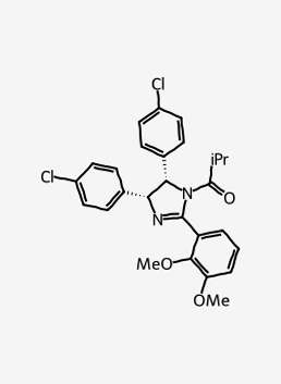 COc1cccc(C2=N[C@H](c3ccc(Cl)cc3)[C@H](c3ccc(Cl)cc3)N2C(=O)C(C)C)c1OC